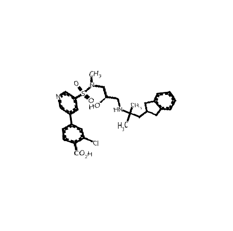 CN(C[C@H](O)CNC(C)(C)CC1Cc2ccccc2C1)S(=O)(=O)c1cncc(-c2ccc(C(=O)O)c(Cl)c2)c1